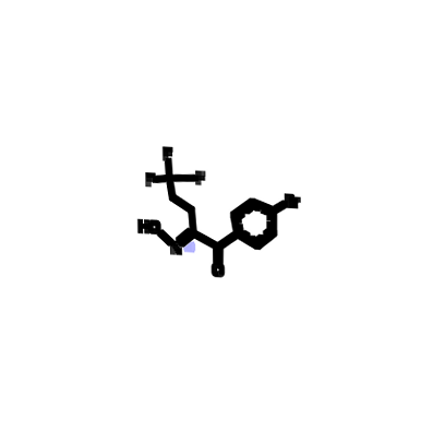 O=C(/C(CCC(F)(F)F)=N/O)c1ccc(Br)cc1